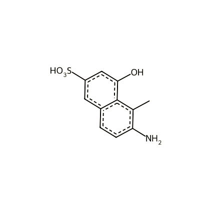 Cc1c(N)ccc2cc(S(=O)(=O)O)cc(O)c12